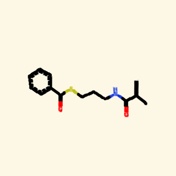 C=C(C)C(=O)NCCCSC(=O)c1ccccc1